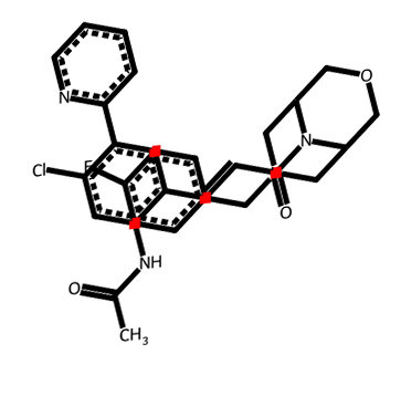 CC(=O)Nc1cc(Cl)c(-c2ccccn2)cc1C=CC(=O)N1C2COCC1CN(Cc1ccc(F)cc1)C2